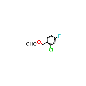 O=[C]OCc1ccc(F)cc1Cl